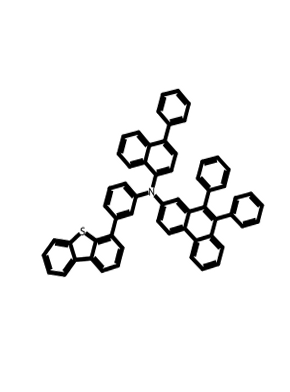 c1ccc(-c2ccc(N(c3cccc(-c4cccc5c4sc4ccccc45)c3)c3ccc4c(c3)c(-c3ccccc3)c(-c3ccccc3)c3ccccc34)c3ccccc23)cc1